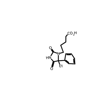 CCC1(c2ccccc2)C(=O)NC(=O)N1CCCCC(=O)O